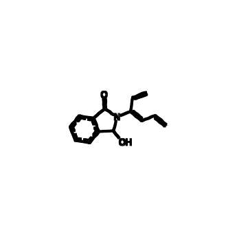 C=C/C=C(\C=C)N1C(=O)c2ccccc2C1O